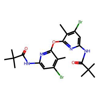 Cc1c(Br)cc(NC(=O)C(C)(C)C)nc1Oc1nc(NC(=O)C(C)(C)C)cc(Br)c1C